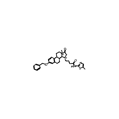 Cc1cnc(NC(=O)CCC[C@@H]2CC(=O)[C@@]3(C)CCC4c5ccc(OCc6ccccc6)cc5CCC4C23)s1